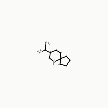 CC(C)C1CCC2(CCCC2)NC1